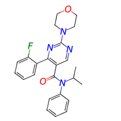 CC(C)N(C(=O)c1cnc(N2CCOCC2)nc1-c1ccccc1F)c1ccccc1